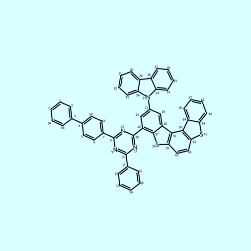 c1ccc(-c2ccc(-c3nc(-c4ccccc4)nc(-c4cc(-n5c6ccccc6c6ccccc65)cc5c4sc4ccc6sc7ccccc7c6c45)n3)cc2)cc1